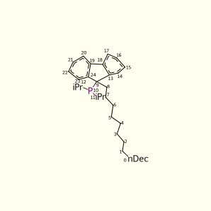 CCCCCCCCCCCCCCCCCCC1(P(C(C)C)C(C)C)c2ccccc2-c2ccccc21